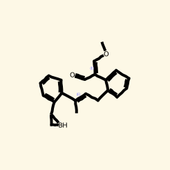 CO/C=C(/C=O)c1ccccc1C/C=C(\C)c1ccccc1C1BC1